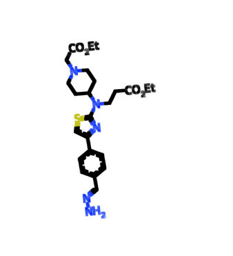 CCOC(=O)CCN(c1nc(-c2ccc(C=NN)cc2)cs1)C1CCN(CC(=O)OCC)CC1